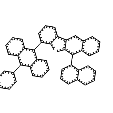 c1ccc(-c2c3ccccc3c(-c3cccc4c3sc3c(-c5cccc6ccccc56)c5ccccc5cc34)c3ccccc23)cc1